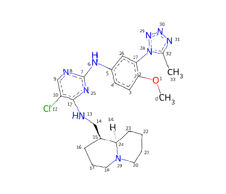 COc1ccc(Nc2ncc(Cl)c(NC[C@@H]3CCCN4CCCC[C@H]34)n2)cc1-n1nnnc1C